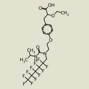 CCOC(Cc1ccc(OCCN(CC(F)(F)C(F)(F)C(F)(F)C(F)(F)C(F)(F)F)C(=O)NC(C)C)cc1)C(=O)O